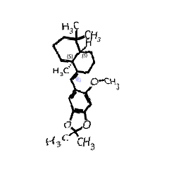 COc1cc2c(cc1/C=C1\CCC[C@H]3C(C)(C)CCC[C@]13C)OC(C)(C)O2